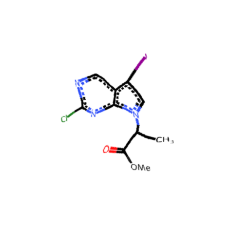 COC(=O)C(C)n1cc(I)c2cnc(Cl)nc21